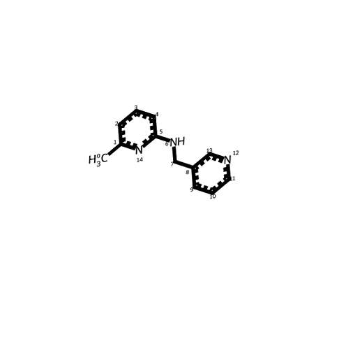 Cc1cccc(NCc2cccnc2)n1